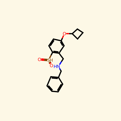 O=[SH](=O)c1ccc(OC2CCC2)cc1CNCc1ccccc1